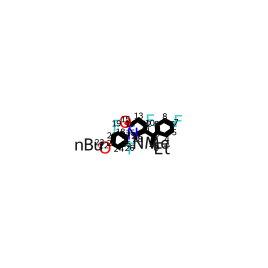 CC/C=C(\c1ccc(F)cc1F)c1ccc(=O)n(-c2c(F)cc(OCCCC)cc2F)c1NC